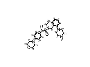 CN1CCN(c2cccc3c2CN(C(=O)Nc2ccc(N4CCOCC4)cc2)CC3)CC1